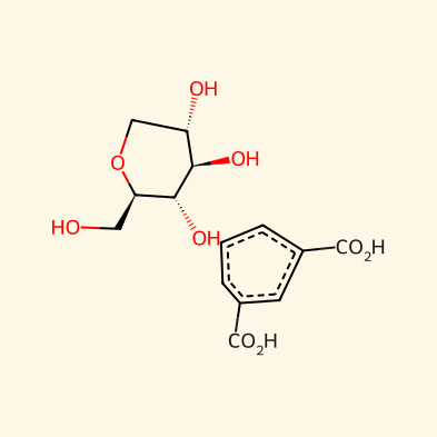 O=C(O)c1cccc(C(=O)O)c1.OC[C@H]1OC[C@H](O)[C@@H](O)[C@@H]1O